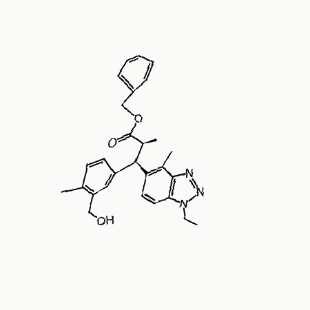 CCn1nnc2c(C)c([C@@H](c3ccc(C)c(CO)c3)[C@H](C)C(=O)OCc3ccccc3)ccc21